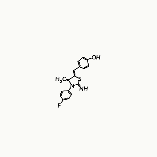 C=c1/c(=C/c2ccc(O)cc2)sc(=N)n1-c1ccc(F)cc1